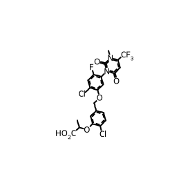 CC(Oc1cc(COc2cc(-n3c(=O)cc(C(F)(F)F)n(C)c3=O)c(F)cc2Cl)ccc1Cl)C(=O)O